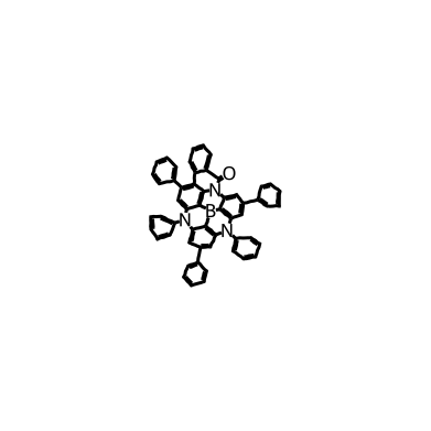 O=c1c2ccccc2c2c(-c3ccccc3)cc3c4c2n1-c1cc(-c2ccccc2)cc2c1B4c1c(cc(-c4ccccc4)cc1N3c1ccccc1)N2c1ccccc1